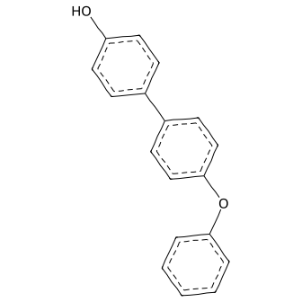 Oc1ccc(-c2ccc(Oc3ccccc3)cc2)cc1